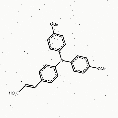 COc1ccc(N(c2ccc(C=CC(=O)O)cc2)c2ccc(OC)cc2)cc1